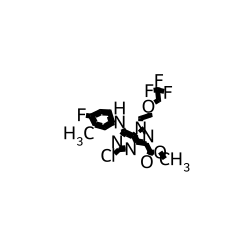 COC(=O)c1nn(CCOCC(F)(F)F)c2c(Nc3ccc(F)c(C)c3)nc(Cl)nc12